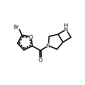 O=C(c1ccc(Br)o1)N1CC2CNC2C1